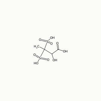 CC([C](O)C(=O)O)(S(=O)(=O)O)S(=O)(=O)O